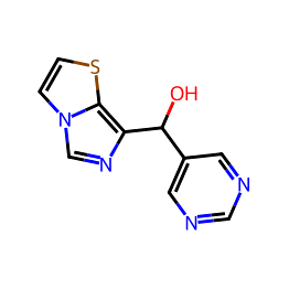 OC(c1cncnc1)c1ncn2ccsc12